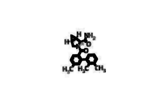 Cc1ccc(C(=O)N2C[C@H]3C[C@H]3[C@H]2C(N)=O)c(-c2cccc(C)c2C)c1